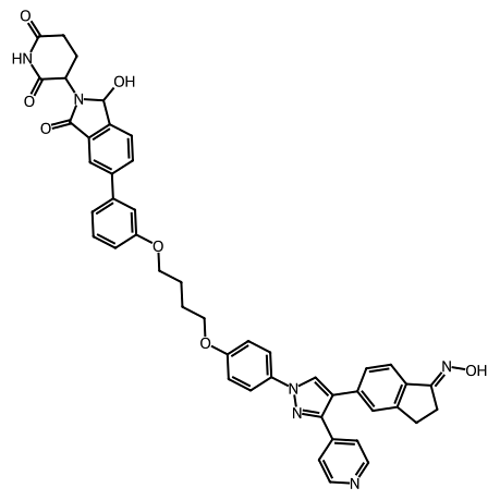 O=C1CCC(N2C(=O)c3cc(-c4cccc(OCCCCOc5ccc(-n6cc(-c7ccc8c(c7)CC/C8=N\O)c(-c7ccncc7)n6)cc5)c4)ccc3C2O)C(=O)N1